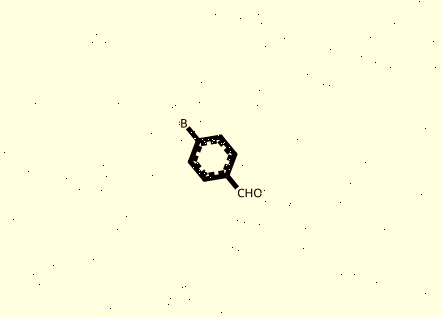 [B]c1ccc(C=O)cc1